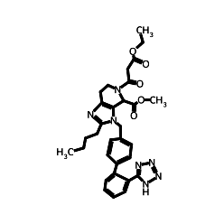 CCCCc1nc2c(n1Cc1ccc(-c3ccccc3-c3nnn[nH]3)cc1)C(C(=O)OC)N(C(=O)CC(=O)OCC)CC2